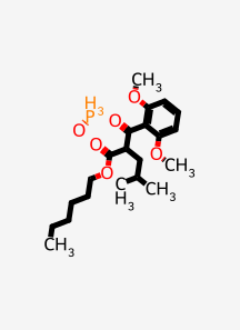 CCCCCCOC(=O)C(CC(C)C)C(=O)c1c(OC)cccc1OC.O=[PH3]